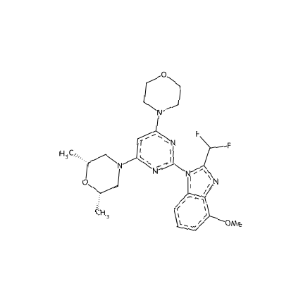 COc1cccc2c1nc(C(F)F)n2-c1nc(N2CCOCC2)cc(N2C[C@@H](C)O[C@@H](C)C2)n1